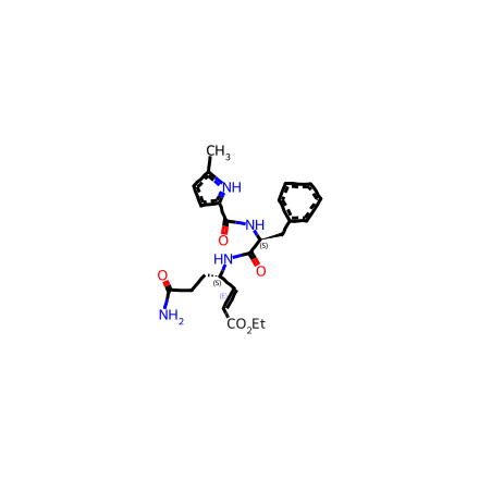 CCOC(=O)/C=C/[C@H](CCC(N)=O)NC(=O)[C@H](Cc1ccccc1)NC(=O)c1ccc(C)[nH]1